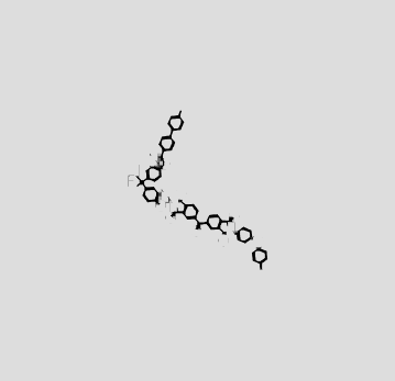 Cc1ccc(Oc2ccc(N3C(=O)c4ccc(C(=O)c5ccc6c(c5)C(=O)N(c5nc7cc(C(C)(c8ccc9oc(-c%10ccc(-c%11ccc(C)cc%11)cc%10)nc9c8)C(F)(F)F)ccc7o5)C6=O)cc4C3=O)cc2)cc1